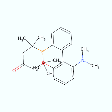 COc1cccc(N(C)C)c1-c1ccccc1P1C(C)(C)CC(=O)CC1(C)C